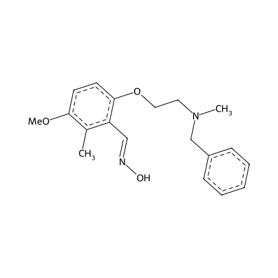 COc1ccc(OCCN(C)Cc2ccccc2)c(/C=N/O)c1C